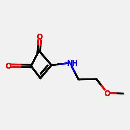 COCCNc1cc(=O)c1=O